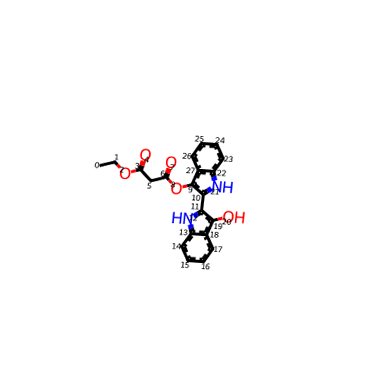 CCOC(=O)CC(=O)Oc1c(-c2[nH]c3ccccc3c2O)[nH]c2ccccc12